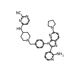 N#Cc1nccc(NC2CCN(Cc3ccc(-n4c(-c5cccnc5N)nc5ccc(N6CCCC6)nc54)cc3)CC2)n1